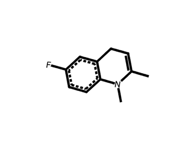 CC1=CCc2cc(F)ccc2N1C